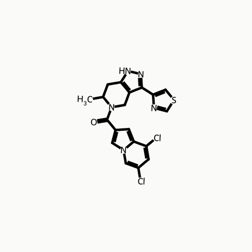 CC1Cc2[nH]nc(-c3cscn3)c2CN1C(=O)c1cc2c(Cl)cc(Cl)cn2c1